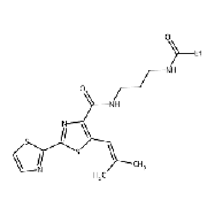 CCC(=O)NCCCNC(=O)c1nc(-c2nccs2)sc1C=C(C)C